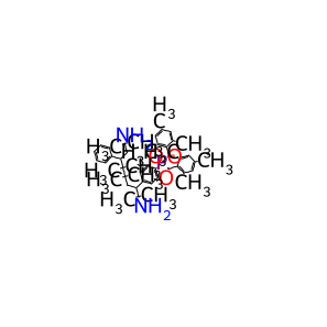 Cc1cc(C)c(C(=O)P(=O)(C(=O)c2c(C)cc(C)cc2C)c2ccc(C(CC(C)(C)C(C)(C)C(CC(C)(C)N)c3ccccc3)C(C)(C)N)cc2)c(C)c1